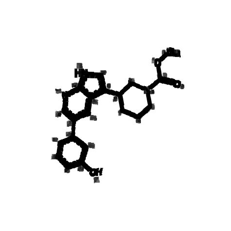 CC(C)(C)OC(=O)N1CCCC(c2c[nH]c3ncc(-c4cccc(O)c4)cc23)C1